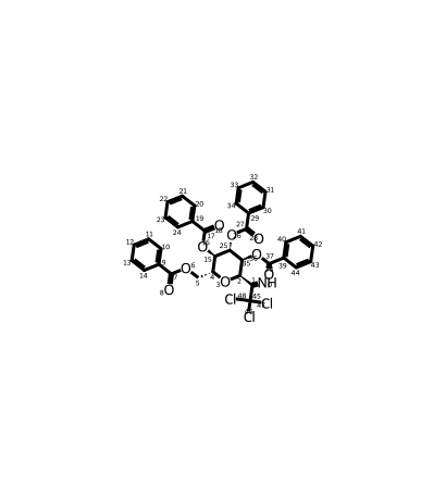 N=C([C@H]1O[C@H](COC(=O)c2ccccc2)[C@@H](OC(=O)c2ccccc2)[C@H](OC(=O)c2ccccc2)[C@H]1OC(=O)c1ccccc1)C(Cl)(Cl)Cl